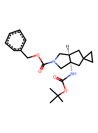 CC(C)(C)OC(=O)N[C@]12CN(C(=O)OCc3ccccc3)C[C@H]1CC1(CC1)C2